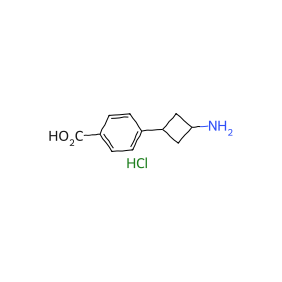 Cl.NC1CC(c2ccc(C(=O)O)cc2)C1